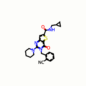 N#Cc1ccccc1Cn1c(N2CCCCC2)nc2cc(C(=O)NCC3CC3)sc2c1=O